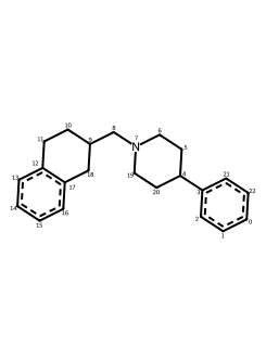 c1ccc(C2CCN(CC3CCc4ccccc4C3)CC2)cc1